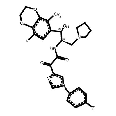 Cc1c([C@@H](O)[C@@H](CN2CCCC2)NC(=O)C(=O)c2cn(-c3ccc(F)cc3)cn2)cc(F)c2c1OCCO2